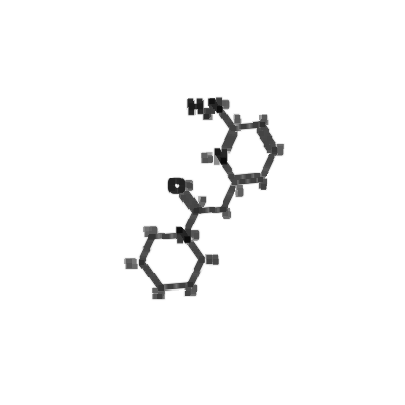 Nc1cccc(CC(=O)N2CCCCC2)n1